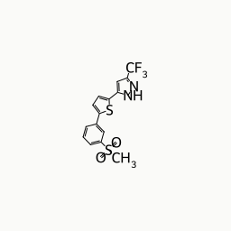 CS(=O)(=O)c1cccc(-c2ccc(-c3cc(C(F)(F)F)n[nH]3)s2)c1